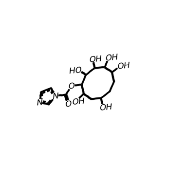 O=C(OC1C(O)CC(O)CCC(O)C(O)C(O)C1O)n1ccnc1